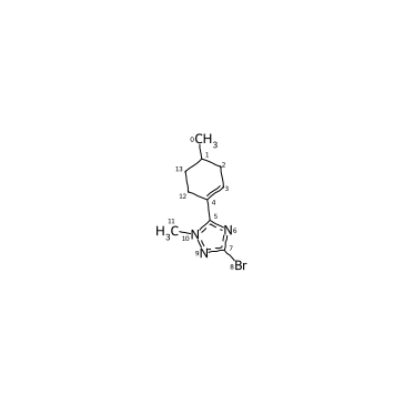 CC1CC=C(c2nc(Br)nn2C)CC1